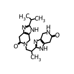 CC(C)c1nc2c([nH]1)CN(CC(C)c1nc3c([nH]1)CC(=O)NC3)C(=O)C2